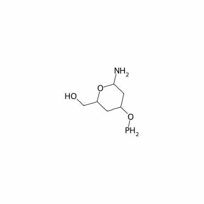 NC1CC(OP)CC(CO)O1